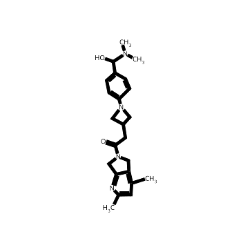 Cc1cc(C)c2c(n1)CN(C(=O)CC1CN(c3ccc(C(O)N(C)C)cc3)C1)C2